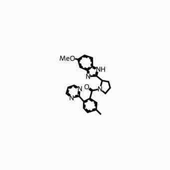 COc1ccc2[nH]c(C3CCCN3C(=O)c3cc(C)ccc3-c3ncccn3)nc2c1